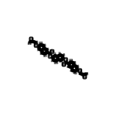 O=C(Oc1ccc2cc(OC(=O)c3ccc4cc(OCC5CO5)ccc4c3)ccc2c1)c1ccc2cc(OCC3CO3)ccc2c1